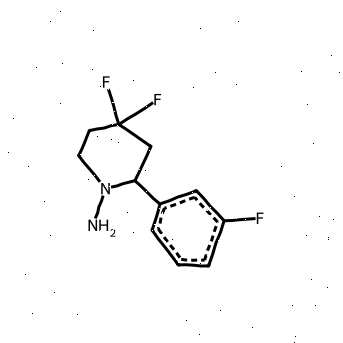 NN1CCC(F)(F)CC1c1cccc(F)c1